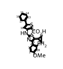 COc1ccc(-c2nc(Nc3cc(-c4ccccc4)sc3C(=O)O)sc2C2CC2)c(P)c1